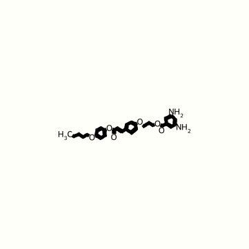 CCCCCOc1ccc(OC(=O)C=Cc2ccc(OCCCOC(=O)c3cc(N)cc(N)c3)cc2)cc1